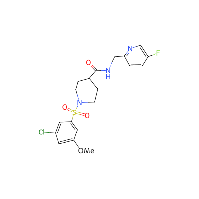 COc1cc(Cl)cc(S(=O)(=O)N2CCC(C(=O)NCc3ccc(F)cn3)CC2)c1